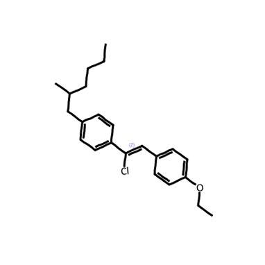 CCCCC(C)Cc1ccc(/C(Cl)=C/c2ccc(OCC)cc2)cc1